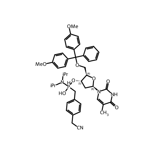 COc1ccc(C(OC[C@H]2O[C@@H](n3cc(C)c(=O)[nH]c3=O)C[C@@H]2O[PH](O)(Cc2ccc(CC#N)cc2)N(C(C)C)C(C)C)(c2ccccc2)c2ccc(OC)cc2)cc1